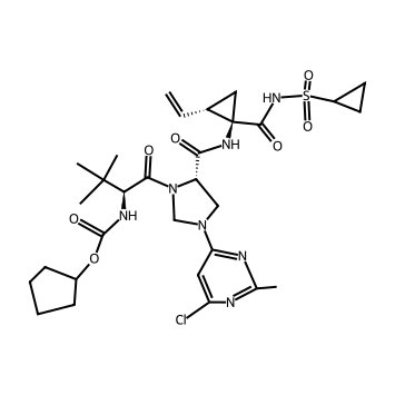 C=C[C@@H]1C[C@]1(NC(=O)[C@@H]1CN(c2cc(Cl)nc(C)n2)CN1C(=O)[C@@H](NC(=O)OC1CCCC1)C(C)(C)C)C(=O)NS(=O)(=O)C1CC1